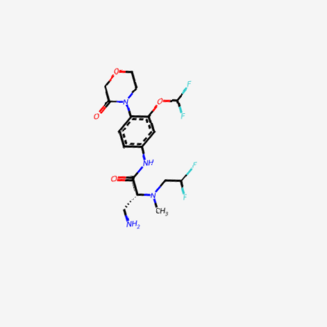 CN(CC(F)F)[C@H](CN)C(=O)Nc1ccc(N2CCOCC2=O)c(OC(F)F)c1